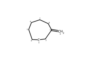 C=C1CCCCCCC1